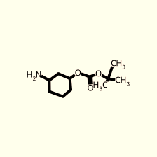 CC(C)(C)OC(=O)OC1CCCC(N)C1